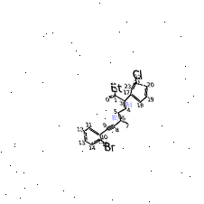 C=C(CC)/C(=C\C=C(/C)C#Cc1ccccc1Br)c1cccc(Cl)c1